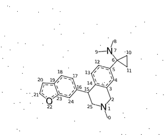 CN1Cc2cc(C3(N(C)C)CC3)ccc2C(c2ccc3ccoc3c2)C1